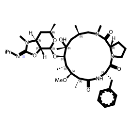 CO[C@H]1[C@H](C)[C@@H](O[C@@H]2O[C@H](C)C[C@H]3[C@H]2O/C(=N/C(C)C)N3C)[C@](C)(O)C[C@@H](C)CN(C)C(=O)[C@@H]2CCCN2C(=O)[C@H](Cc2ccccc2)NC(=O)[C@@H]1C